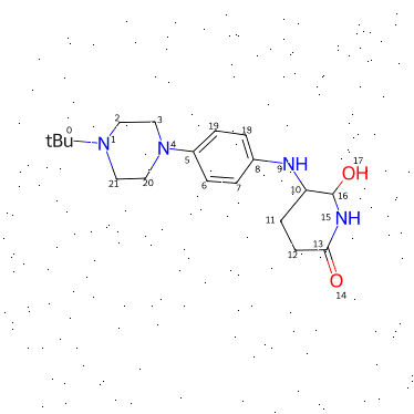 CC(C)(C)N1CCN(c2ccc(NC3CCC(=O)NC3O)cc2)CC1